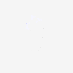 CCC(Cc1ccc(C(F)(F)F)cc1Cl)C(c1cnnc2nc[nH]c12)C1CC1